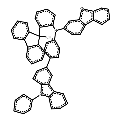 CC1(c2ccccc2N(c2ccc(-c3ccc4c(c3)c3ccccc3n4-c3ccccc3)cc2)c2ccc3c(c2)oc2ccccc23)c2ccccc2-c2ccccc21